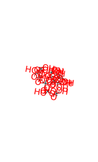 CC(CO)(CO)C(=O)OCC(C)(CO)C(=O)OCC(COC(=O)C(C)(COC(=O)C(C)(CO)CO)COC(=O)C(C)(CO)CO)(COC(=O)C(C)(COC(=O)C(C)(CO)CO)COC(=O)C(C)(CO)CO)COC(=O)C(C)(COC(=O)C(C)(CO)CO)COC(=O)C(C)(CO)CO